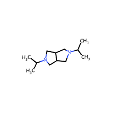 CC(C)N1CC2CN(C(C)C)CC2C1